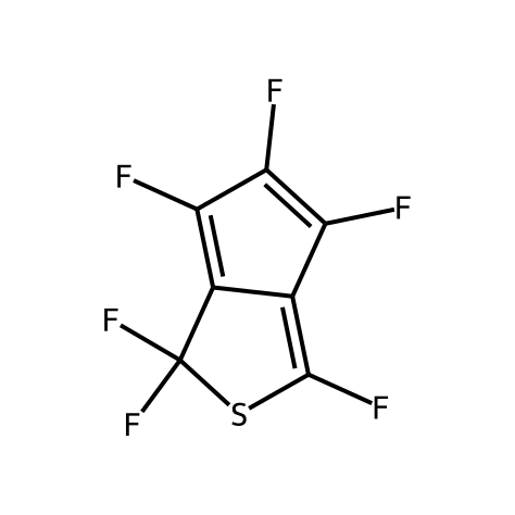 FC1=C2C(F)=C(F)C(F)=C2C(F)(F)S1